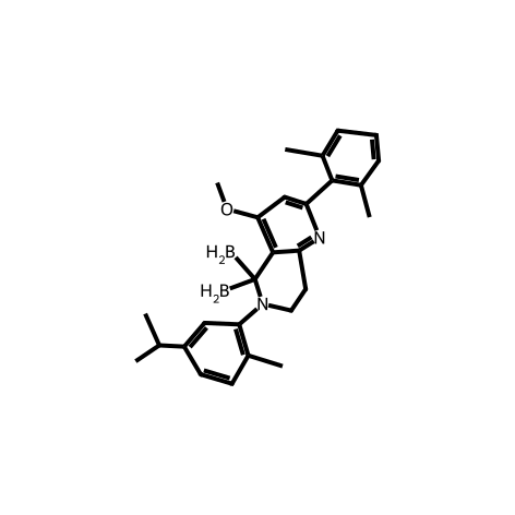 BC1(B)c2c(OC)cc(-c3c(C)cccc3C)nc2CCN1c1cc(C(C)C)ccc1C